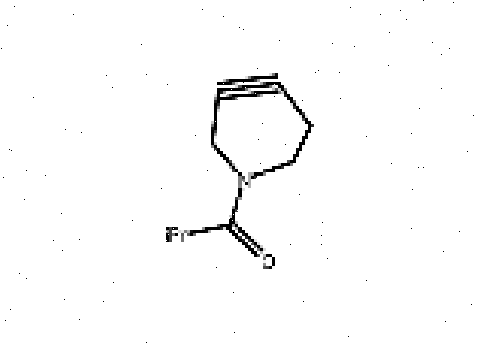 CC(C)C(=O)N1CC#CCC1